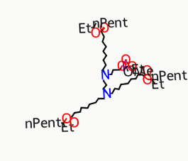 CCCCCC(CC)OC(=O)CCCCCCCCN(CCCCCCCCC(=O)OC(CC)CCCCC)CCCN(CCCCCCCCC(=O)OC(CC)CCCCC)CCCOP(=O)(OC)OCC